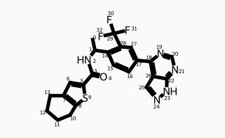 CC(NC(=O)c1cc2c(s1)CCCC2)c1ccc(-c2ncnc3[nH]ncc23)cc1C(F)(F)F